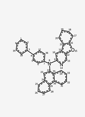 c1ccc(-c2ccc(N(c3cc4c(cn3)oc3ccccc34)c3cc4ccccc4c4ccccc34)cc2)cc1